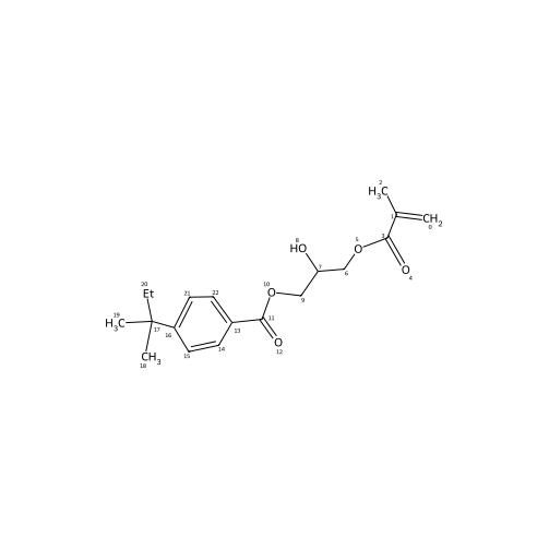 C=C(C)C(=O)OCC(O)COC(=O)c1ccc(C(C)(C)CC)cc1